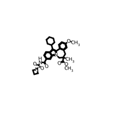 COC(=O)C1(C)Cc2cc(OC)ccc2-c2c(C3CCCCC3)c3ccc(C(=O)NS(=O)(=O)N4CCC4)cc3n2C1